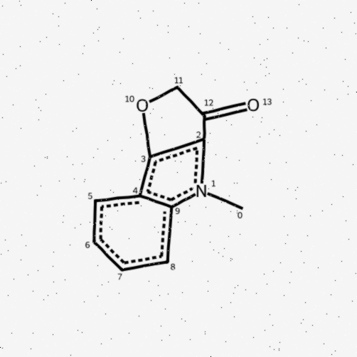 Cn1c2c(c3ccccc31)OCC2=O